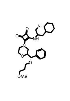 COCCCO[C@@H](c1ccccc1)C1CN(c2c(NC(CN)CC3CCCCC3)c(=O)c2=O)CCO1